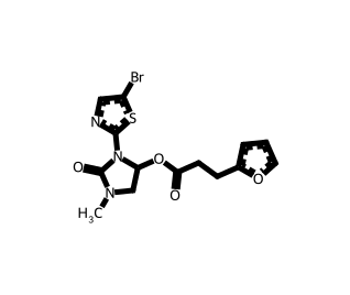 CN1CC(OC(=O)CCc2ccco2)N(c2ncc(Br)s2)C1=O